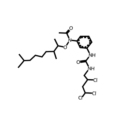 CC(=O)N(OC(C)C(C)CCCCC(C)C)c1cccc(NC(=O)NCC(Cl)CC(Cl)Cl)c1